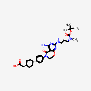 CN(CCCNc1nc(N)c2c(n1)OCCN(c1ccc([C@H]3CC[C@H](CC(=O)O)CC3)cc1)C2=O)C(=O)OC(C)(C)C